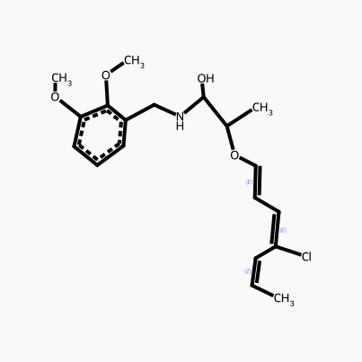 C\C=C/C(Cl)=C\C=C\OC(C)C(O)NCc1cccc(OC)c1OC